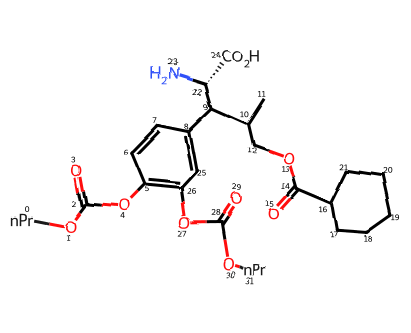 CCCOC(=O)Oc1ccc(C(C(C)COC(=O)C2CCCCC2)[C@H](N)C(=O)O)cc1OC(=O)OCCC